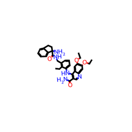 CCOc1cc2ncc(C(N)=O)c(Nc3cccc(CNC(=O)C4(N)CCc5ccccc54)c3CC)c2cc1OCC